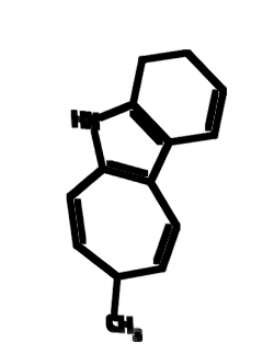 CC1C=Cc2[nH]c3c(c2C=C1)C=CCC3